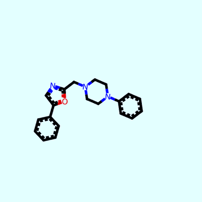 c1ccc(-c2cnc(CN3CCN(c4ccccc4)CC3)o2)cc1